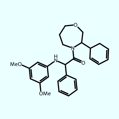 COc1cc(NC(C(=O)N2CCCOCC2C2C=CC=CC2)c2ccccc2)cc(OC)c1